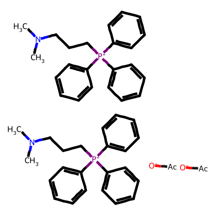 CC(=O)[O-].CC(=O)[O-].CN(C)CCC[P+](c1ccccc1)(c1ccccc1)c1ccccc1.CN(C)CCC[P+](c1ccccc1)(c1ccccc1)c1ccccc1